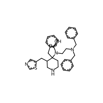 O=C(O)N(CCN(Cc1ccccc1)Cc1ccccc1)C1(Cc2ccccc2)CCNCC1Cc1cncs1